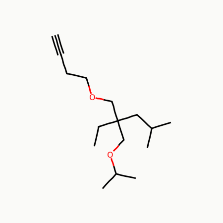 C#CCCOCC(CC)(COC(C)C)CC(C)C